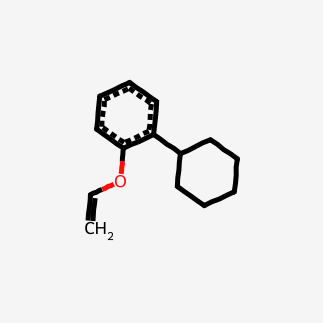 C=COc1ccccc1C1CCCCC1